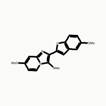 CNc1c(-c2cc3cc(OC)ccc3o2)nc2cc(OC)ccn12